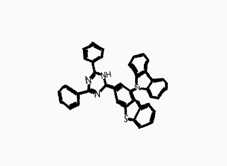 c1ccc(C2=NC(c3cc(-n4c5ccccc5c5ccccc54)c4c(c3)sc3ccccc34)NC(c3ccccc3)=N2)cc1